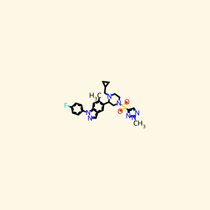 Cc1cc2c(cnn2-c2ccc(F)cc2)cc1C1CN(S(=O)(=O)c2cnn(C)n2)CCN1CC1CC1